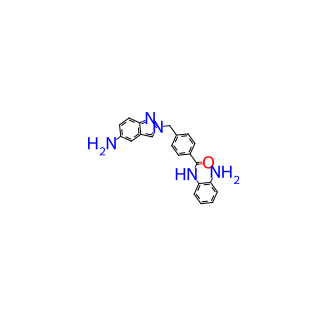 Nc1ccc2nn(Cc3ccc(C(=O)Nc4ccccc4N)cc3)cc2c1